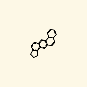 C1=CC2C=Cc3cc4c5c(ccc4cc3C2C=C1)CCC5